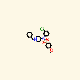 COc1ccc(S(=O)(=O)N(c2cccc(Cl)c2)C2CCN(Cc3ccccc3)CC2)cc1